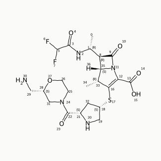 C[C@@H](NC(=O)C(F)F)[C@H]1C(=O)N2C(C(=O)O)=C(S[C@@H]3CN[C@H](C(=O)N4CCO[C@@H](CN)C4)C3)[C@H](C)[C@H]12